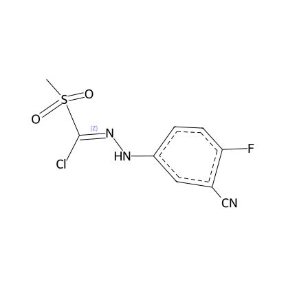 CS(=O)(=O)/C(Cl)=N/Nc1ccc(F)c(C#N)c1